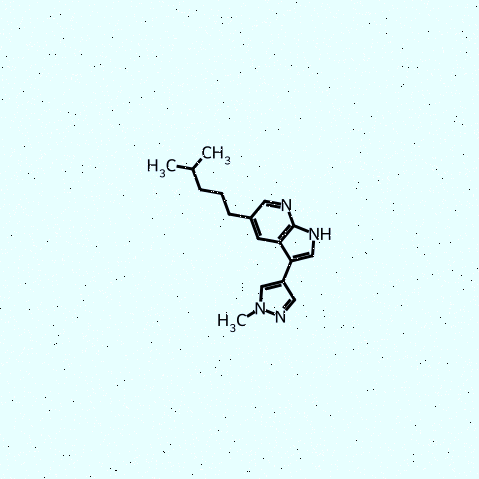 CC(C)CCCc1cnc2[nH]cc(-c3cnn(C)c3)c2c1